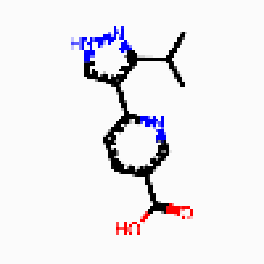 CC(C)c1n[nH]cc1-c1ccc(C(=O)O)cn1